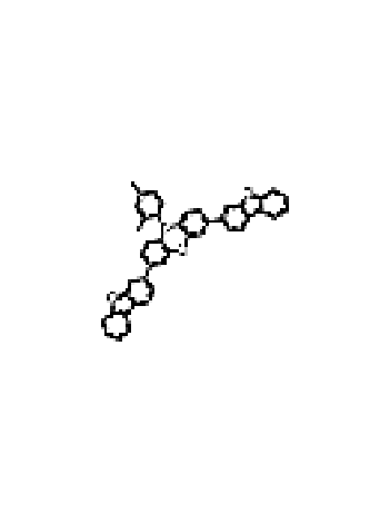 Cc1ccc(N2c3ccc(-c4ccc5c(c4)oc4ccccc45)cc3Oc3cc(-c4ccc5c(c4)oc4ccccc45)ccc32)c(C)c1